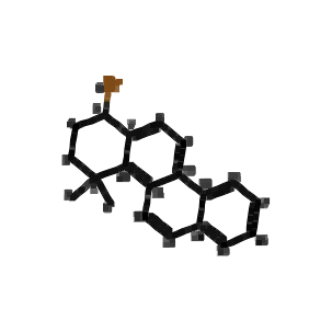 CC1(C)CCC(Br)c2ccc3c(ccc4ccccc43)c21